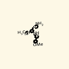 COc1ccc(-c2ccnc(CNc3cc(CN4CCC[C@H](N)C4)cc(-n4cnc(C)c4)c3)c2)cc1